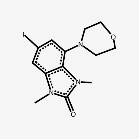 Cn1c(=O)n(C)c2c(N3CCOCC3)cc(I)cc21